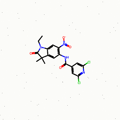 CCN1C(=O)C(C)(C)c2cc(NC(=O)c3cc(Cl)nc(Cl)c3)c([N+](=O)[O-])cc21